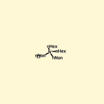 CCCCCCCCC[N+](CCCCCC)(CCCCCC)CCCCCCCCC.[Cl-]